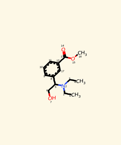 CCN(CC)C(CO)c1cccc(C(=O)OC)c1